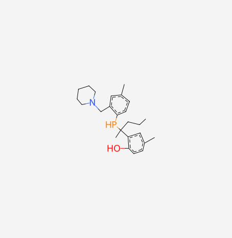 CCCC(C)(Pc1ccc(C)cc1CN1CCCCC1)c1cc(C)ccc1O